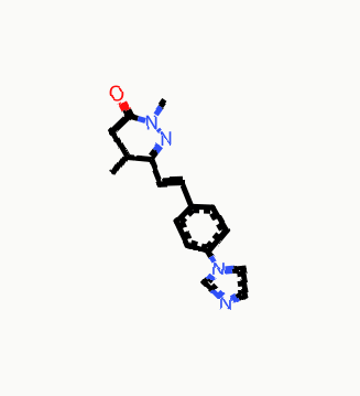 CC1CC(=O)N(C)N=C1/C=C/c1ccc(-n2ccnc2)cc1